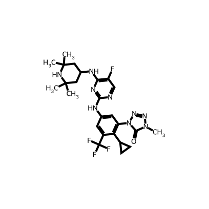 Cn1nnn(-c2cc(Nc3ncc(F)c(NC4CC(C)(C)NC(C)(C)C4)n3)cc(C(F)(F)F)c2C2CC2)c1=O